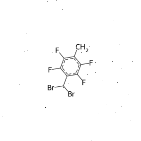 [CH2]c1c(F)c(F)c([C](Br)Br)c(F)c1F